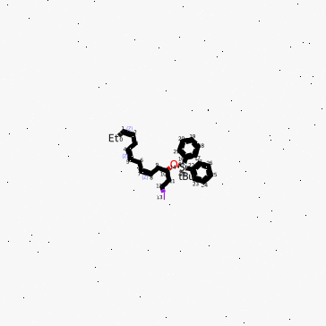 CC/C=C\C/C=C\C/C=C\CC(CCI)O[Si](c1ccccc1)(c1ccccc1)C(C)(C)C